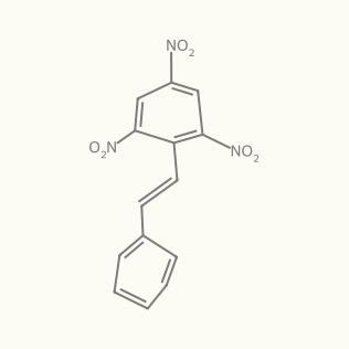 O=[N+]([O-])c1cc([N+](=O)[O-])c(/C=C/c2ccccc2)c([N+](=O)[O-])c1